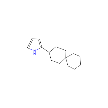 c1c[nH]c(C2CCC3(CCCCC3)CC2)c1